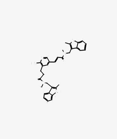 Cc1[nH]c2ccccc2c1CN(C)C(=O)C=Cc1cnc(N)c(CCC(=O)N(C)Cc2c(C)[nH]c3ccccc23)c1